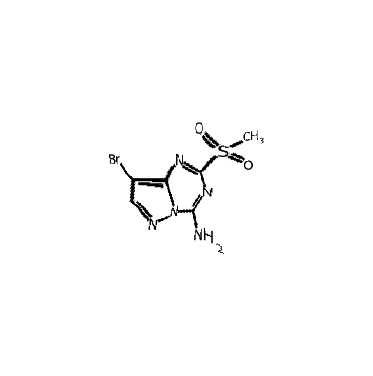 CS(=O)(=O)c1nc(N)n2ncc(Br)c2n1